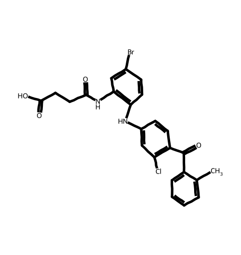 Cc1ccccc1C(=O)c1ccc(Nc2ccc(Br)cc2NC(=O)CCC(=O)O)cc1Cl